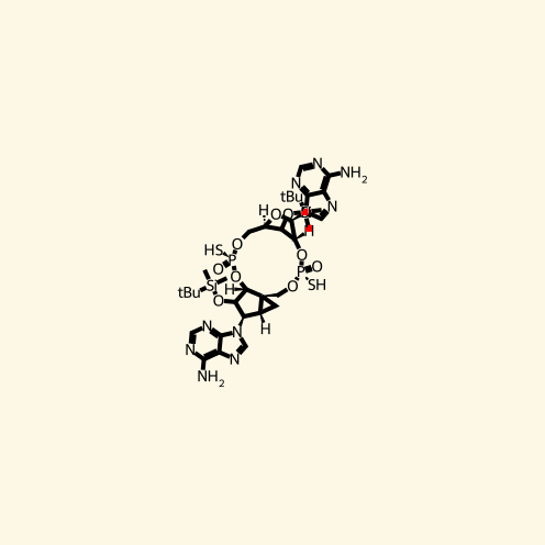 CC(C)(C)[Si](C)(C)OC1[C@H]2O[P@](=O)(S)OC[C@@]34C[C@@H]3[C@@H](n3cnc5c(N)ncnc53)C(O[Si](C)(C)C(C)(C)C)[C@@H]4O[P@@](=O)(S)OC[C@H]1O[C@H]2n1cnc2c(N)ncnc21